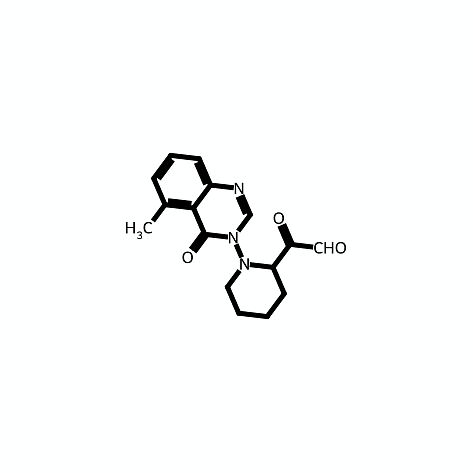 Cc1cccc2ncn(N3CCCCC3C(=O)C=O)c(=O)c12